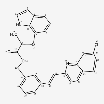 CC(Oc1cccc2cc[nH]c12)C(=O)OCc1cccc(/C=C/c2ccc3ccc(Cl)cc3n2)c1